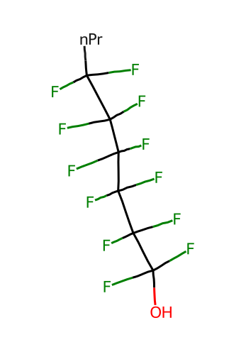 CCCC(F)(F)C(F)(F)C(F)(F)C(F)(F)C(F)(F)C(O)(F)F